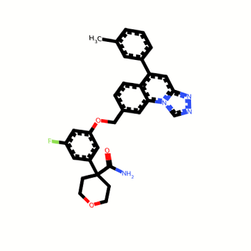 Cc1cccc(-c2cc3nncn3c3cc(COc4cc(F)cc(C5(C(N)=O)CCOCC5)c4)ccc23)c1